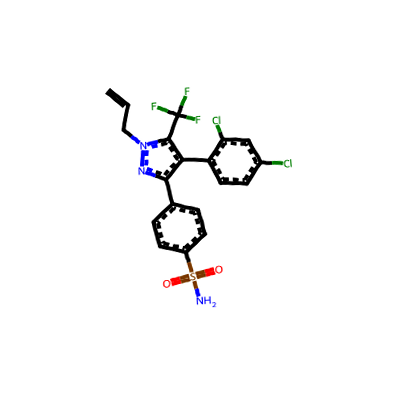 C=CCn1nc(-c2ccc(S(N)(=O)=O)cc2)c(-c2ccc(Cl)cc2Cl)c1C(F)(F)F